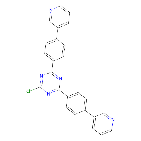 Clc1nc(-c2ccc(-c3cccnc3)cc2)nc(-c2ccc(-c3cccnc3)cc2)n1